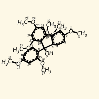 COc1ccc(C(O)(c2ccc(OC)cc2OC)c2c(OC)cc(OC)cc2OC)c(OC)c1